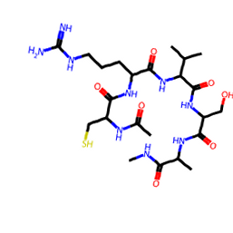 CNC(=O)C(C)NC(=O)C(CO)NC(=O)C(NC(=O)C(CCCNC(=N)N)NC(=O)C(CS)NC(C)=O)C(C)C